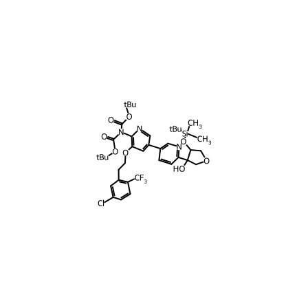 CC(C)(C)OC(=O)N(C(=O)OC(C)(C)C)c1ncc(-c2ccc(C3(O)COCC3O[Si](C)(C)C(C)(C)C)nc2)cc1OCCc1cc(Cl)ccc1C(F)(F)F